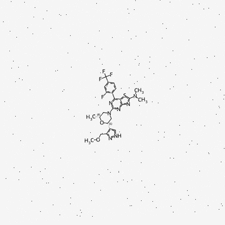 COCc1n[nH]cc1[C@H]1CN(c2nc(-c3ccc(C(F)(F)F)cc3F)c3sc(N(C)C)nc3n2)C[C@@H](C)O1